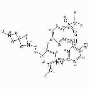 COc1cc(CCN2CC3(CN(C)C3)C2)c(C)cc1Nc1ncc(Cl)c(Nc2ccccc2S(=O)(=O)C(C)C)n1